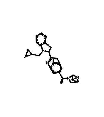 C=C(c1cc2c(C)c(c1)N=C(C1Cc3ccccc3N1CC1CC1)C2)N1CC2C3C1N23